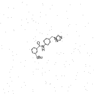 CC(C)(C)c1cccc(C(=O)Nc2ccc(Cn3cncn3)cc2)c1